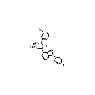 C/C=C(\N[C@@H](CCC)c1cccc(Br)c1)c1cccc2c1cnn2-c1ccc(F)cc1